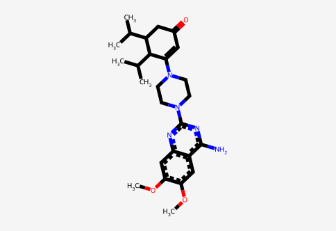 COc1cc2nc(N3CCN(C4=CC(=O)CC(C(C)C)C4C(C)C)CC3)nc(N)c2cc1OC